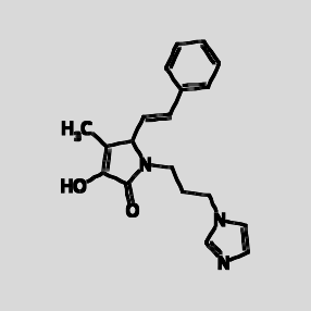 CC1=C(O)C(=O)N(CCCn2ccnc2)C1C=Cc1ccccc1